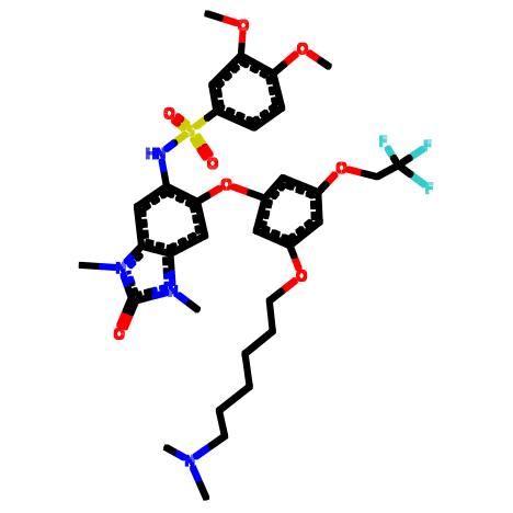 COc1ccc(S(=O)(=O)Nc2cc3c(cc2Oc2cc(OCCCCCCN(C)C)cc(OCC(F)(F)F)c2)n(C)c(=O)n3C)cc1OC